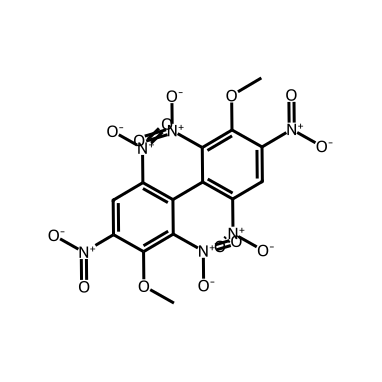 COc1c([N+](=O)[O-])cc([N+](=O)[O-])c(-c2c([N+](=O)[O-])cc([N+](=O)[O-])c(OC)c2[N+](=O)[O-])c1[N+](=O)[O-]